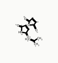 C=C(C)C.O=C1C=CC(=O)N1.O=C1C=CC(=O)O1